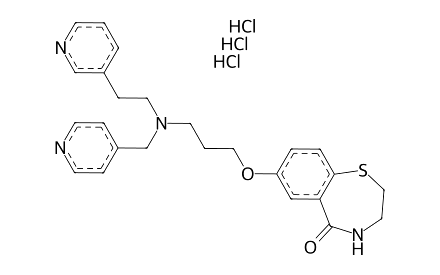 Cl.Cl.Cl.O=C1NCCSc2ccc(OCCCN(CCc3cccnc3)Cc3ccncc3)cc21